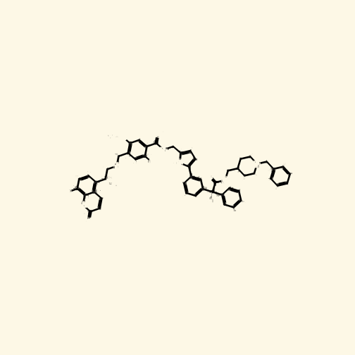 COc1cc(C(=O)NCc2ccc(-c3cccc([C@](O)(C(=O)OCC4CCN(Cc5ccccc5)CC4)c4ccccc4)c3)s2)c(Cl)cc1CNC[C@H](O)c1ccc(O)c2[nH]c(=O)ccc12